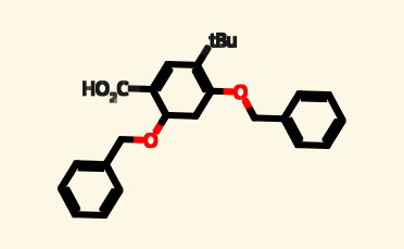 CC(C)(C)C1=C(OCc2ccccc2)CC(OCc2ccccc2)C(C(=O)O)=C1